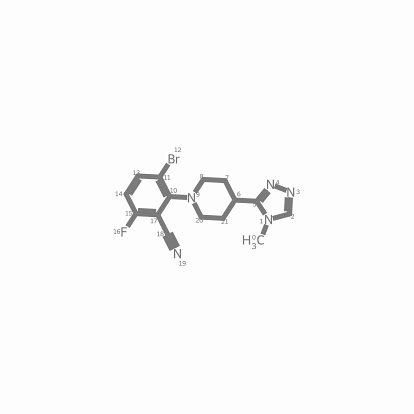 Cn1cnnc1C1CCN(c2c(Br)ccc(F)c2C#N)CC1